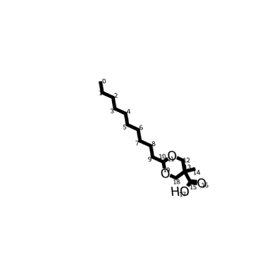 CCCCCCCCCCC1OCC(C)(C(=O)O)CO1